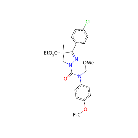 CCOC(=O)C1(C)CN(C(=O)N(COC)c2ccc(OC(F)(F)F)cc2)N=C1c1ccc(Cl)cc1